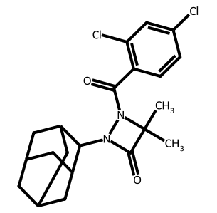 CC1(C)C(=O)N(C2C3CC4CC(C3)CC2C4)N1C(=O)c1ccc(Cl)cc1Cl